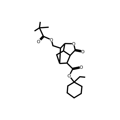 CCC1(OC(=O)C2C3CC4C(OC(=O)C42)C3COC(=O)C(C)(C)C)CCCCC1